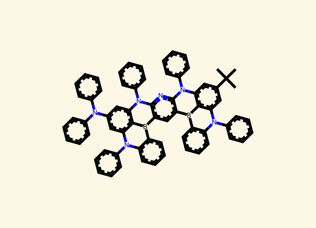 CC(C)(C)c1cc2c3c(c1)N(c1ccccc1)c1nc4c(cc1B3c1ccccc1N2c1ccccc1)B1c2ccccc2N(c2ccccc2)c2cc(N(c3ccccc3)c3ccccc3)cc(c21)N4c1ccccc1